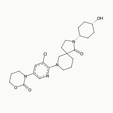 O=C1OCCCN1c1cnc(N2CCCC3(CCN([C@H]4CC[C@@H](O)CC4)C3=O)C2)c(Cl)c1